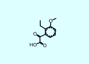 CCc1c(OC)cccc1C(=O)C(=O)O